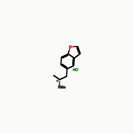 CN[C@H](C)Cc1ccc2occc2c1.Cl